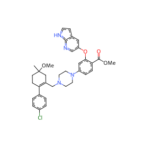 COC(=O)c1ccc(N2CCN(CC3=C(c4ccc(Cl)cc4)CCC(C)(OC)C3)CC2)cc1Oc1cnc2[nH]ccc2c1